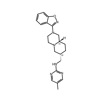 Cc1cnc(NC[C@H]2CC[C@H]3CN(c4noc5ccccc45)CCN3C2)nc1